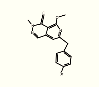 COc1nc(Cc2ccc(Br)cc2)cc2cnn(C)c(=O)c12